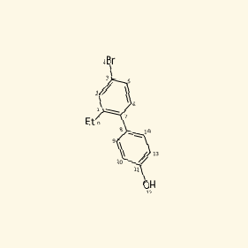 CCc1cc(Br)ccc1-c1ccc(O)cc1